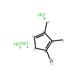 CC1=CC[C]([Zr])=C1C.Cl.Cl.Cl